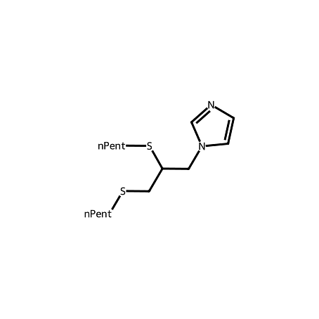 CCCCCSCC(Cn1ccnc1)SCCCCC